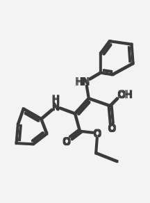 CCOC(=O)C(Nc1ccccc1)=C(Nc1ccccc1)C(=O)O